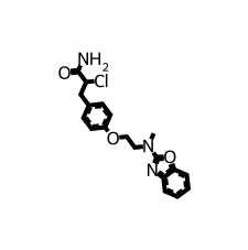 CN(CCOc1ccc(CC(Cl)C(N)=O)cc1)c1nc2ccccc2o1